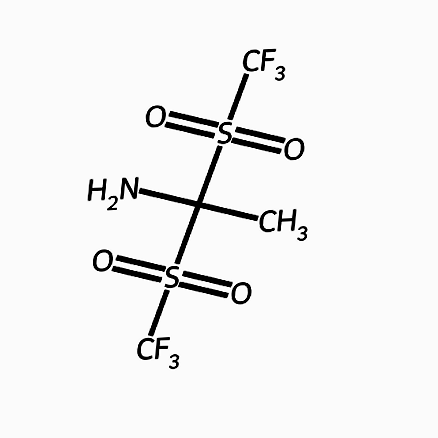 CC(N)(S(=O)(=O)C(F)(F)F)S(=O)(=O)C(F)(F)F